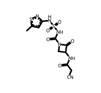 Cc1cc(NS(=O)(=O)NC(=O)N2CC(NC(=O)CC#N)C2=O)ns1